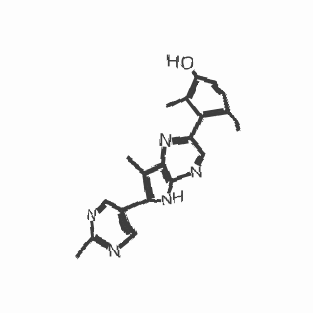 Cc1ncc(-c2[nH]c3ncc(-c4c(C)ccc(O)c4C)nc3c2C)cn1